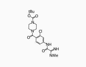 CNC(=N)C(=O)Nc1ccc(C(=O)N2CCN(C(=O)OC(C)(C)C)CC2)c(Cl)c1